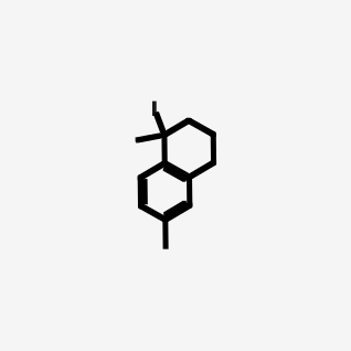 Cc1ccc2c(c1)CCCC2(C)I